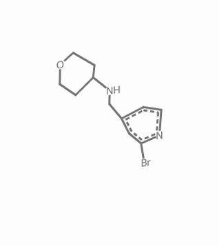 Brc1cc(CNC2CCOCC2)ccn1